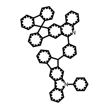 c1ccc(-n2c3ccccc3c3cc4c(cc32)C(c2cccc(-c3nc5ccccc5c5cc6c(cc35)-c3ccccc3C63c5ccccc5-c5ccccc53)c2)c2ccccc2-4)cc1